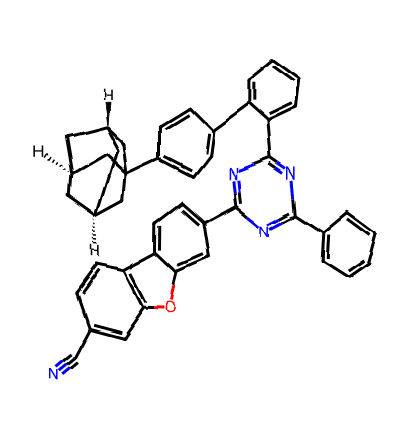 N#Cc1ccc2c(c1)oc1cc(-c3nc(-c4ccccc4)nc(-c4ccccc4-c4ccc(C56C[C@H]7C[C@H](C5)C[C@@H](C6)C7)cc4)n3)ccc12